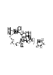 N[C@H]1C/C=C/CCC(=O)Nc2cc(NC(=O)OCc3ccccn3)ccc2-c2nc1[nH]c2Cl